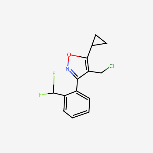 FC(F)c1ccccc1-c1noc(C2CC2)c1CCl